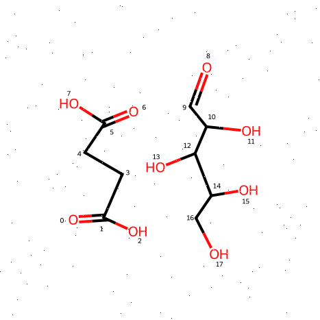 O=C(O)CCC(=O)O.O=CC(O)C(O)C(O)CO